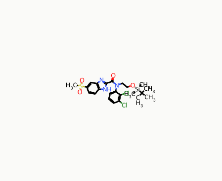 CC(C)(C)[Si](C)(C)OCCN(C(=O)c1nc2cc(S(C)(=O)=O)ccc2[nH]1)c1cccc(Cl)c1Cl